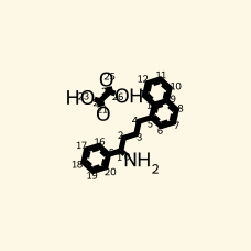 NC(CCCc1cccc2ccccc12)c1ccccc1.O=C(O)C(=O)O